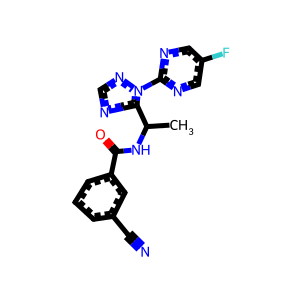 CC(NC(=O)c1cccc(C#N)c1)c1ncnn1-c1ncc(F)cn1